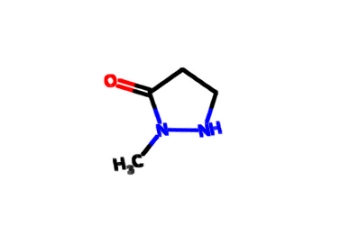 CN1NCCC1=O